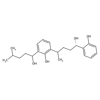 CC(C)CCC(O)c1cccc(C(C)CC[C@H](O)c2ccccc2O)c1O